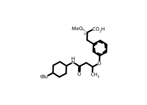 CO[C@@H](Cc1cccc(OC(C)CC(=O)NC2CCC(C(C)(C)C)CC2)c1)C(=O)O